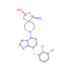 N[C@@H]1C[C@H](O)CC12CCN(c1ncc(Sc3cccc(Cl)c3Cl)c3nccn13)CC2